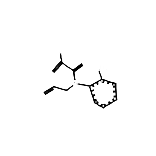 Cc1ccccc1N(CC=O)C(=O)C(=O)O